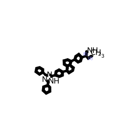 C/C=C\C(=C/N)c1ccc(-c2cccc3c(-c4ccc(C5N=C(c6ccccc6)N=C(c6ccccc6)N5)cc4)cccc23)cc1